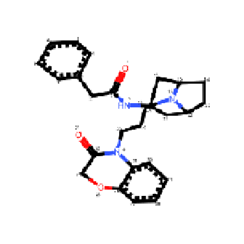 O=C(Cc1ccccc1)NC1CC2CCC(C1)N2CCCN1C(=O)COc2ccccc21